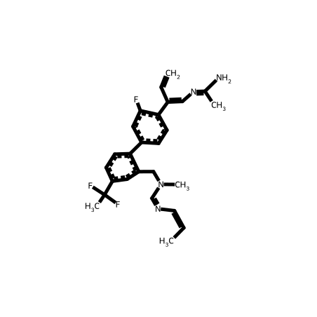 C=C/C(=C\N=C(/C)N)c1ccc(-c2ccc(C(C)(F)F)cc2CN(C)/C=N\C=C/C)cc1F